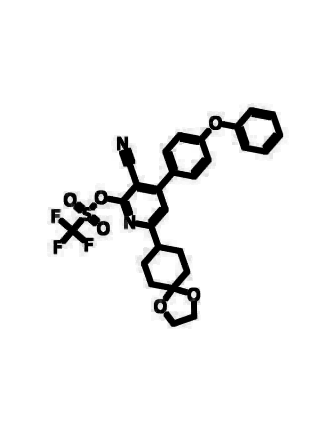 N#Cc1c(-c2ccc(Oc3ccccc3)cc2)cc(C2CCC3(CC2)OCCO3)nc1OS(=O)(=O)C(F)(F)F